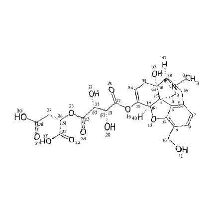 CN1CC[C@]23c4c5ccc(CO)c4O[C@H]2C(OC(=O)[C@H](O)[C@@H](O)C(=O)O[C@@H](CC(=O)O)C(=O)O)=CC[C@@]3(O)[C@H]1C5